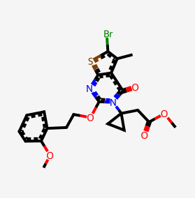 COC(=O)CC1(n2c(OCCc3ccccc3OC)nc3sc(Br)c(C)c3c2=O)CC1